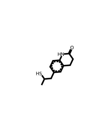 CC(S)Cc1ccc2c(c1)CCC(=O)N2